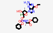 CCOc1nc(N)nc2c1ncn2[C@@H]1O[C@](F)(COP(=O)(N[C@@H](C)C(=O)OC2CCCCC2)Oc2ccccc2)[C@@H](O)[C@@H]1C